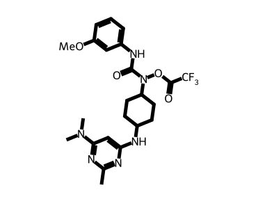 COc1cccc(NC(=O)N(OC(=O)C(F)(F)F)C2CCC(Nc3cc(N(C)C)nc(C)n3)CC2)c1